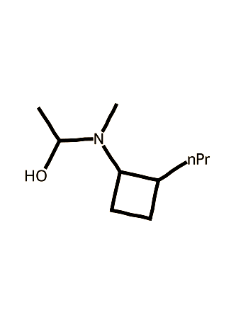 CCCC1CCC1N(C)C(C)O